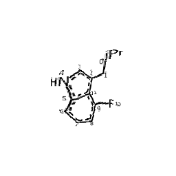 CC(C)Cc1c[nH]c2cccc(F)c12